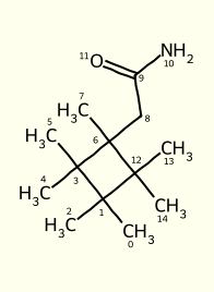 CC1(C)C(C)(C)C(C)(CC(N)=O)C1(C)C